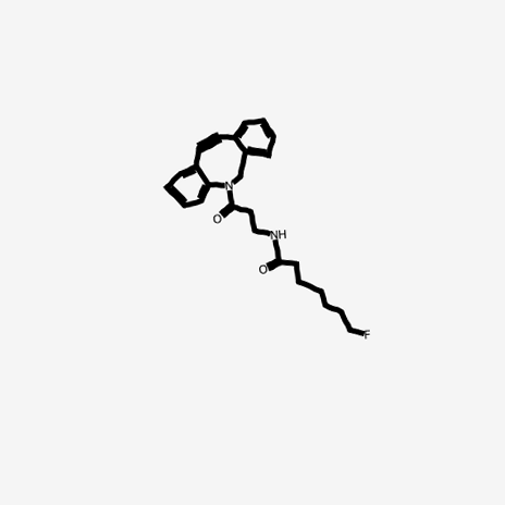 O=C(CCCCCCF)NCCC(=O)N1Cc2ccccc2C#Cc2ccccc21